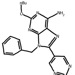 CCCCOc1nc(N)c2nc(-c3cncnc3)n(Cc3ccccc3)c2n1